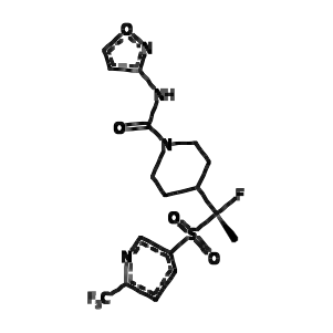 C[C@](F)(C1CCN(C(=O)Nc2ccon2)CC1)S(=O)(=O)c1ccc(C(F)(F)F)nc1